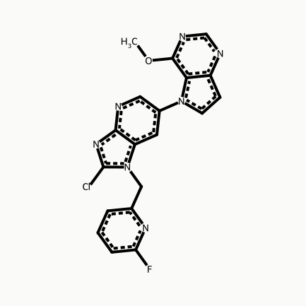 COc1ncnc2ccn(-c3cnc4nc(Cl)n(Cc5cccc(F)n5)c4c3)c12